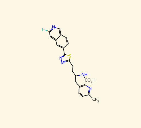 O=C(O)NC(CCc1nnc(-c2ccc3cnc(F)cc3c2)s1)Cc1ccc(C(F)(F)F)nc1